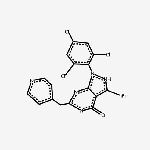 CC(C)c1[nH]n(-c2c(Cl)cc(Cl)cc2Cl)c2nc(Cc3ccncc3)nc(=O)c1-2